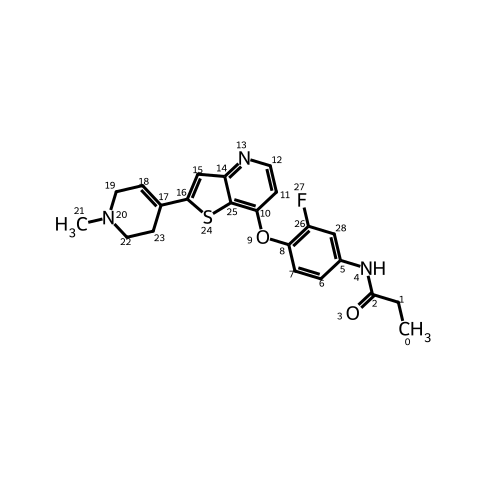 CCC(=O)Nc1ccc(Oc2ccnc3cc(C4=CCN(C)CC4)sc23)c(F)c1